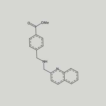 COC(=O)c1ccc(CNCc2ccc3ccccc3n2)cc1